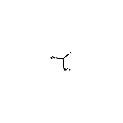 CCCC(NC)C(C)C